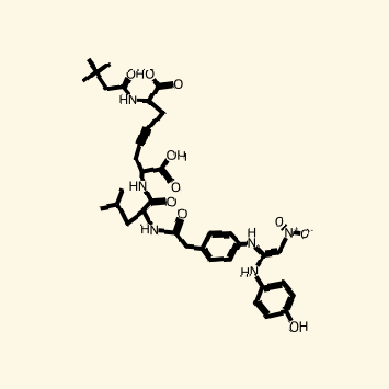 CC(C)CC(NC(=O)Cc1ccc(NC(=C[N+](=O)[O-])Nc2ccc(O)cc2)cc1)C(=O)NC(CC#CCC(NC(=O)CC(C)(C)C)C(=O)O)C(=O)O